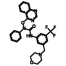 O=C(Nc1cc(CN2CCOCC2)cc(C(F)(F)F)c1)N(Oc1ncnc2ccccc12)c1ccccc1